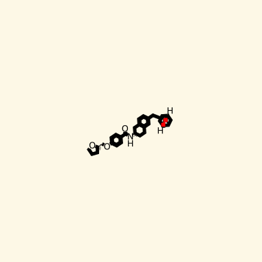 O=C(N[C@H]1CCc2cc(CN3C[C@H]4CC[C@H](CC4)C3)ccc2C1)c1ccc(OC[C@@H]2CCCO2)cc1